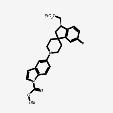 CCOC(=O)C[C@@H]1CC2(CCN(c3ccc4c(ccn4C(=O)OC(C)(C)C)c3)CC2)c2cc(F)ccc21